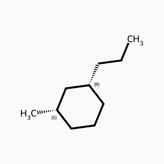 CCC[C@@H]1CCC[C@H](C)C1